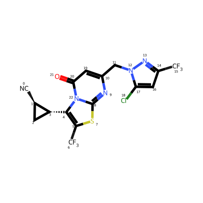 N#C[C@@H]1C[C@H]1c1c(C(F)(F)F)sc2nc(Cn3nc(C(F)(F)F)cc3Cl)cc(=O)n12